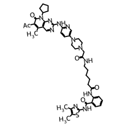 CC(=O)c1c(C)c2cnc(Nc3ccc(N4CCN(CC(=O)NCCCCCC(=O)Nc5ccccc5C(=O)Nc5nc(C)c(C)s5)CC4)cn3)nc2n(C2CCCC2)c1=O